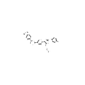 CCS(=O)(=O)c1ccc(C(CO)NC(=O)c2ccc(-c3nc(Oc4ccc(C(F)(F)F)cc4)sc3COCCF)nc2)cc1